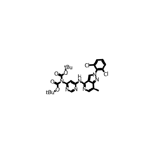 Cc1cnc(Nc2cc(N(C(=O)OC(C)(C)C)C(=O)OC(C)(C)C)ncn2)c2cn(-c3c(Cl)cccc3Cl)nc12